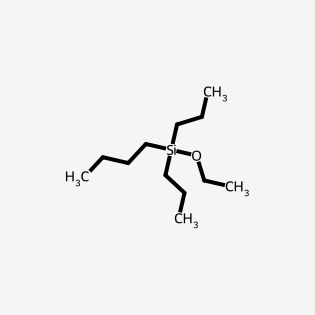 CCCC[Si](CCC)(CCC)OCC